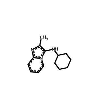 Cc1nc2ccccn2c1NC1CCCCC1